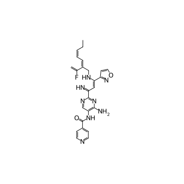 C=C(F)/C(=C\C=C/CC)CN/C(=C\C(=N)c1ncc(NC(=O)c2ccncc2)c(N)n1)c1ccon1